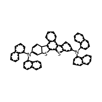 C1=CC2c3c(c4sc5cc(N(c6cccc7ccccc67)c6cccc7ccccc67)ccc5c4c4ccccc34)SC2C=C1N(c1cccc2ccccc12)c1cccc2ccccc12